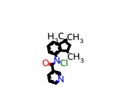 CC1CC(C)(C)c2cccc(N(Cl)C(=O)c3cccnc3)c21